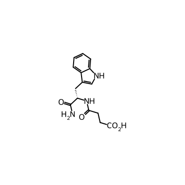 NC(=O)[C@H](Cc1c[nH]c2ccccc12)NC(=O)CCC(=O)O